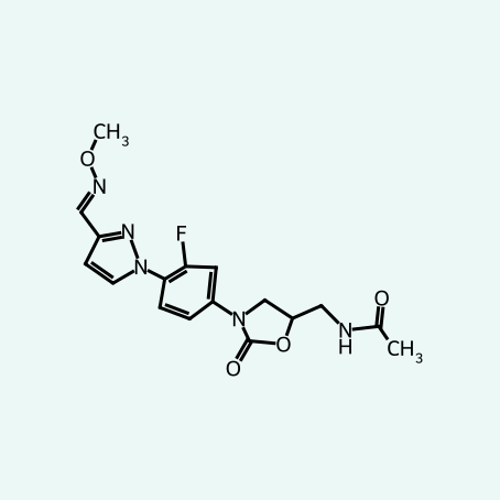 CON=Cc1ccn(-c2ccc(N3CC(CNC(C)=O)OC3=O)cc2F)n1